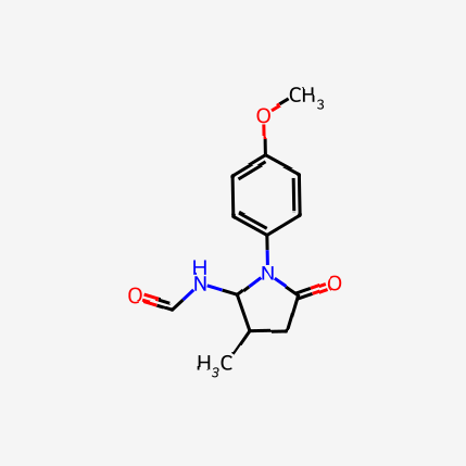 COc1ccc(N2C(=O)CC(C)C2NC=O)cc1